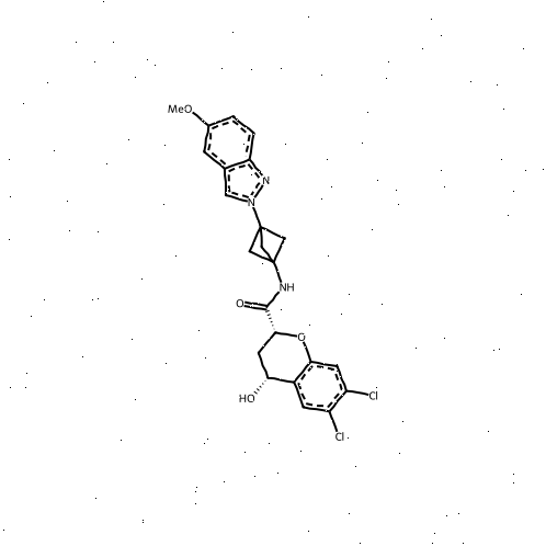 COc1ccc2nn(C34CC(NC(=O)[C@H]5C[C@@H](O)c6cc(Cl)c(Cl)cc6O5)(C3)C4)cc2c1